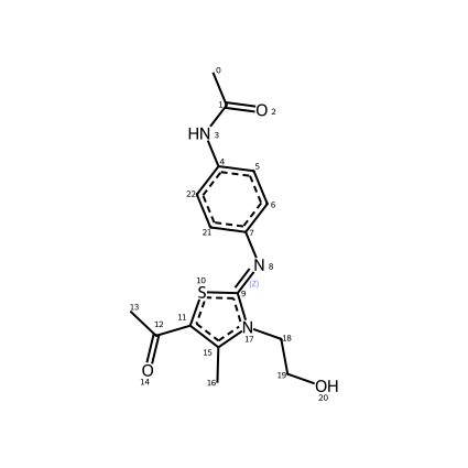 CC(=O)Nc1ccc(/N=c2\sc(C(C)=O)c(C)n2CCO)cc1